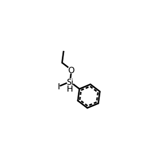 CCO[SiH](I)c1ccccc1